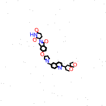 O=C1CC[C@H](N2Cc3cc(O[C@H]4CCN(Cc5ccc6nc(C7CCOC8(CCOC8)C7)ccc6c5)C4)ccc3C2=O)C(=O)N1